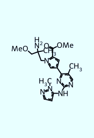 COCC(C)(N)Cn1cc(-c2nc(Nc3ccnn3C)ncc2C)cc1C(=O)OC